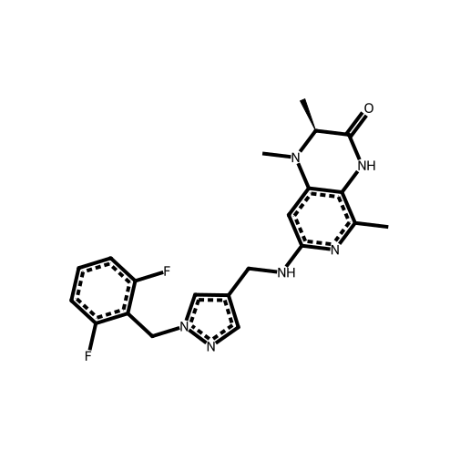 Cc1nc(NCc2cnn(Cc3c(F)cccc3F)c2)cc2c1NC(=O)[C@H](C)N2C